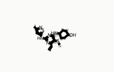 C=Cc1nc(Nc2cc(C)ns2)nc(NC2CCC(O)CC2)c1SC